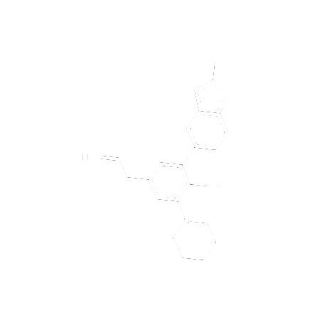 C=CCc1cc(-c2ccc3oc(C)cc3c2)c(O)c(N2CCCCC2)c1